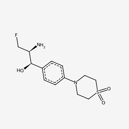 N[C@H](CF)[C@H](O)c1ccc(N2CCS(=O)(=O)CC2)cc1